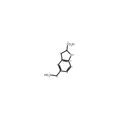 CCOC(=O)C1Cc2cc(CS(=O)(=O)O)ccc2O1